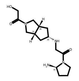 N[C@@H]1CCCN1C(=O)CN[C@@H]1C[C@@H]2CN(C(=O)CO)C[C@@H]2C1